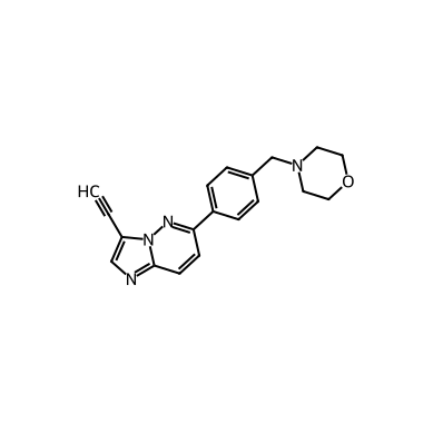 C#Cc1cnc2ccc(-c3ccc(CN4CCOCC4)cc3)nn12